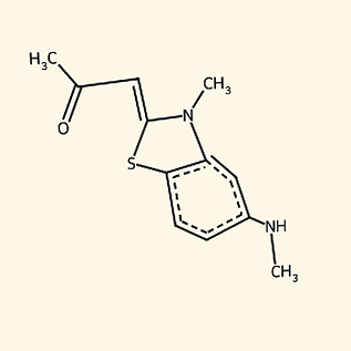 CNc1ccc2c(c1)N(C)/C(=C/C(C)=O)S2